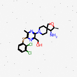 Cc1nc(N2CCC3(CC2)CO[C@@H](C)[C@H]3N)c(CO)nc1Sc1cccc(Cl)c1Cl